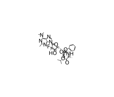 Cc1nc(N(C)C)c2ncn([C@@H]3O[C@H](CO[P@](=S)(N[C@H](C)C(=O)OC(C)C)Oc4ccccc4)[C@@H](O)[C@@]3(C)F)c2n1